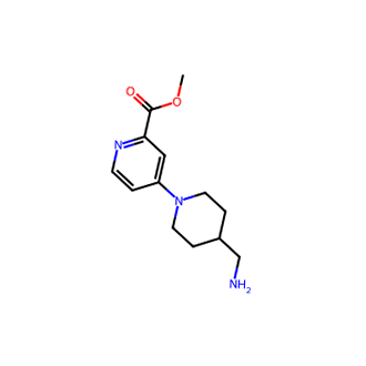 COC(=O)c1cc(N2CCC(CN)CC2)ccn1